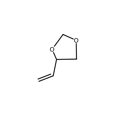 C=CC1COCO1